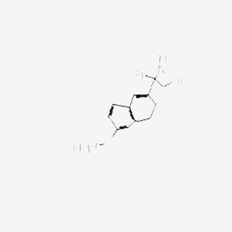 CCCCCCCOc1ccc2c(c1)CCC(C(N)(CC)CO)=C2